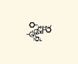 Cc1cccc(C(=O)N[C@@H](Cc2ccccc2)[C@H](O)CN(CC(C)C)S(=O)(=O)c2cn(C)cn2)n1